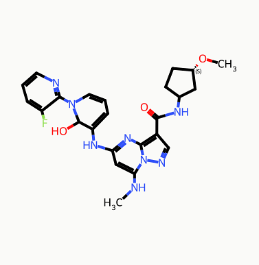 CNc1cc(NC2=CC=CN(c3ncccc3F)C2O)nc2c(C(=O)NC3CC[C@H](OC)C3)cnn12